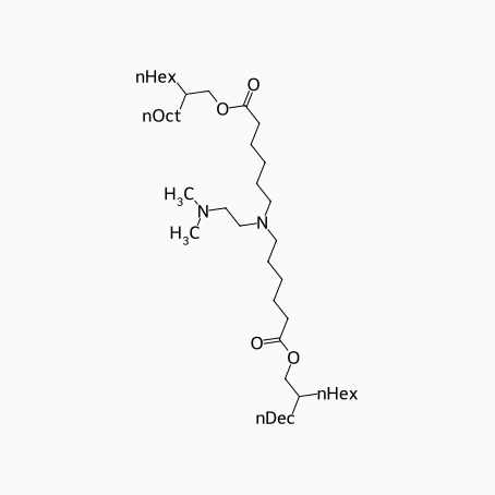 CCCCCCCCCCC(CCCCCC)COC(=O)CCCCCN(CCCCCC(=O)OCC(CCCCCC)CCCCCCCC)CCN(C)C